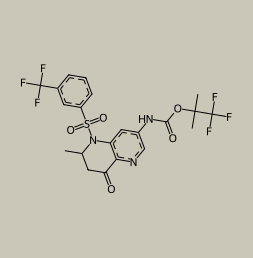 CC1CC(=O)c2ncc(NC(=O)OC(C)(C)C(F)(F)F)cc2N1S(=O)(=O)c1cccc(C(F)(F)F)c1